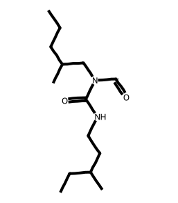 CCCC(C)CN([C]=O)C(=O)NCCC(C)CC